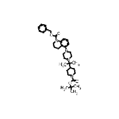 CC(C)(C)OC(=O)N1CCC(C(C)(C)N2CCN(c3cccc4c3CCCN4C(=O)OCc3ccccc3)CC2)CC1